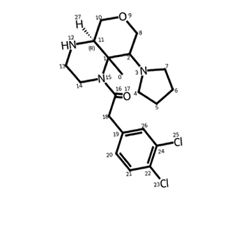 CC12C(N3CCCC3)COC[C@@H]1NCCN2C(=O)Cc1ccc(Cl)c(Cl)c1